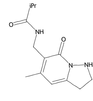 Cc1cc2n(c(=O)c1CNC(=O)C(C)C)NCC2